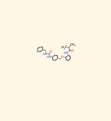 CC(C)C(=O)Nc1ccccc1OCc1ccc(NC(=O)NCc2cccnc2)cc1